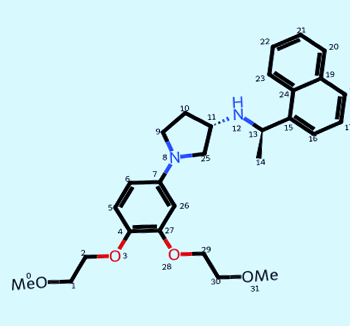 COCCOc1ccc(N2CC[C@H](N[C@H](C)c3cccc4ccccc34)C2)cc1OCCOC